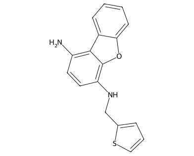 Nc1ccc(NCc2cccs2)c2oc3ccccc3c12